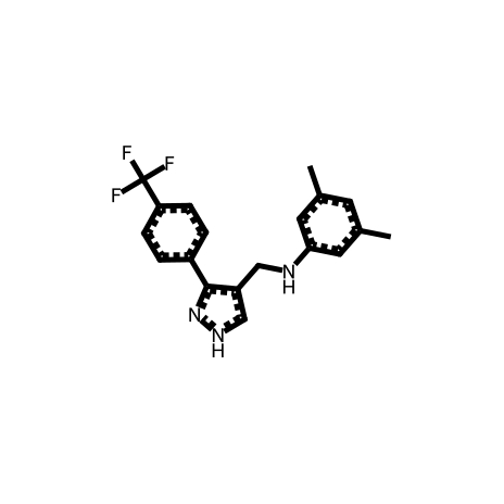 Cc1cc(C)cc(NCc2c[nH]nc2-c2ccc(C(F)(F)F)cc2)c1